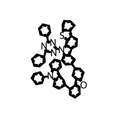 c1ccc(-c2nc(-c3ccccc3)nc(-n3c4ccc(-c5ccc6oc7cccc(-c8ccc9c(c8)c8ccccc8n9-c8ccccc8)c7c6c5)cc4c4ccc5c6ccccc6sc5c43)n2)cc1